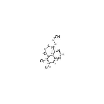 N#CCCN1CCOc2c(Cl)c(Br)cc3ncnc1c23